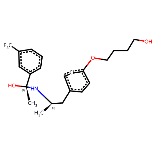 C[C@H](Cc1ccc(OCCCCO)cc1)N[C@](C)(O)c1cccc(C(F)(F)F)c1